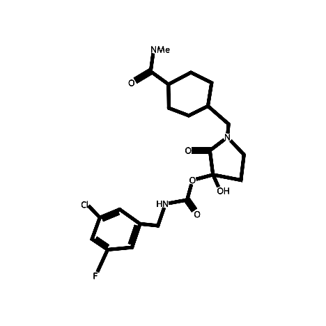 CNC(=O)C1CCC(CN2CCC(O)(OC(=O)NCc3cc(F)cc(Cl)c3)C2=O)CC1